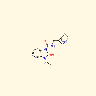 CC(C)n1c(=O)n(C(=O)NCC2CN3CCC2C3)c2ccccc21